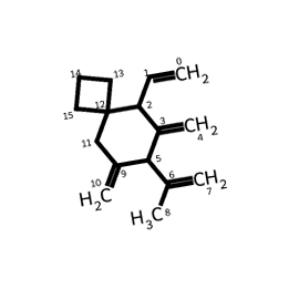 C=CC1C(=C)C(C(=C)C)C(=C)CC12CCC2